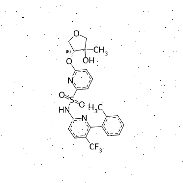 Cc1ccccc1-c1nc(NS(=O)(=O)c2cccc(O[C@@H]3COCC3(C)O)n2)ccc1C(F)(F)F